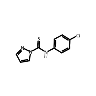 S=C(Nc1ccc(Cl)cc1)n1cccn1